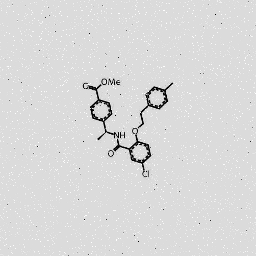 COC(=O)c1ccc([C@H](C)NC(=O)c2cc(Cl)ccc2OCCc2ccc(C)cc2)cc1